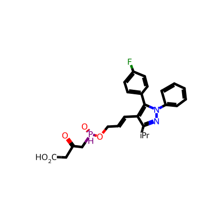 CC(C)c1nn(-c2ccccc2)c(-c2ccc(F)cc2)c1C=CCO[PH](=O)CC(=O)CC(=O)O